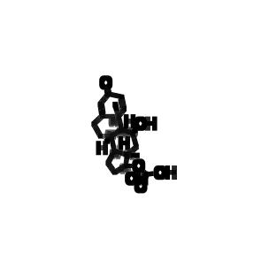 C[C@]12C=CC(=O)C=C1CC[C@@H]1[C@@H]2[C@@H](O)C[C@@]2(C)[C@H]1CC[C@]2(O)OC(=O)O